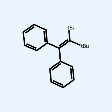 CC(C)(C)C(=C(c1ccccc1)c1ccccc1)C(C)(C)C